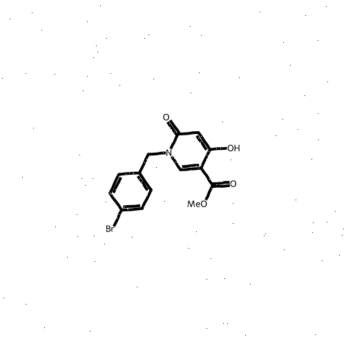 COC(=O)c1cn(Cc2ccc(Br)cc2)c(=O)cc1O